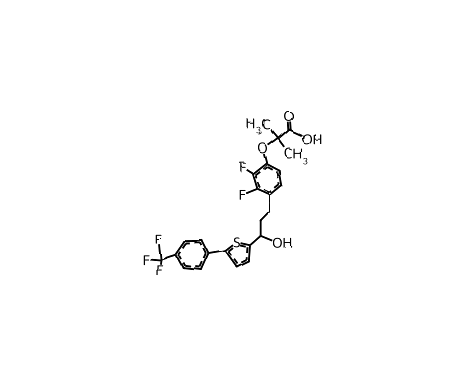 CC(C)(Oc1ccc(CCC(O)c2ccc(-c3ccc(C(F)(F)F)cc3)s2)c(F)c1F)C(=O)O